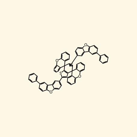 c1ccc(-c2ccc3oc4ccc(-c5cc6c(s5)C5(c7ccccc7Oc7ccccc75)c5cc(-c7ccc8oc9ccc(-c%10ccccc%10)cc9c8c7)sc5C65c6ccccc6Oc6ccccc65)cc4c3c2)cc1